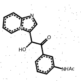 CC(=O)Nc1cccc(C(=O)C(O)c2cnc3ccccn23)c1